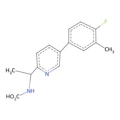 Cc1cc(-c2ccc(C(C)NC(=O)O)nc2)ccc1F